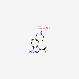 C=C(C)c1c[nH]c2ccc3c(c12)CCN(C(=O)O)C3